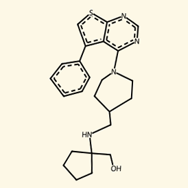 OCC1(NCC2CCN(c3ncnc4scc(-c5ccccc5)c34)CC2)CCCC1